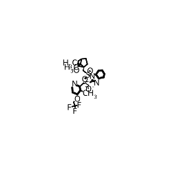 Cc1c(OCC(F)(F)F)ccnc1C[S+]([O-])c1nc2ccccc2n1S(=O)(=O)C[C@@]12CCC(CC1=O)C2(C)C